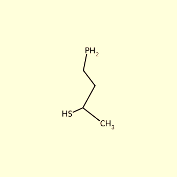 CC(S)CCP